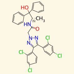 C[C@H](NC(=O)Cn1nc(-c2ccc(Cl)cc2Cl)c(-c2ccc(Cl)cc2Cl)n1)C(O)(c1ccccc1)c1ccccc1